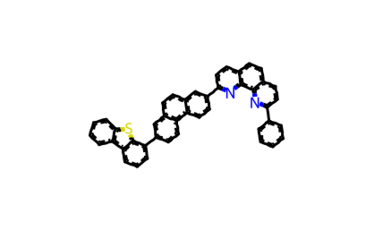 c1ccc(-c2ccc3ccc4ccc(-c5ccc6c(ccc7cc(-c8cccc9c8sc8ccccc89)ccc76)c5)nc4c3n2)cc1